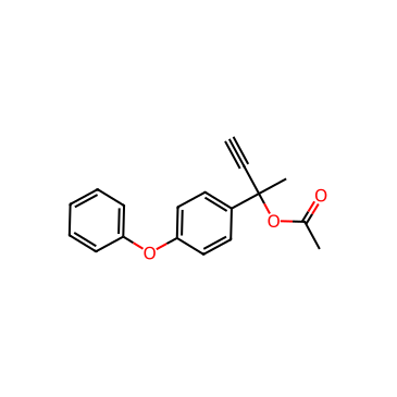 C#CC(C)(OC(C)=O)c1ccc(Oc2ccccc2)cc1